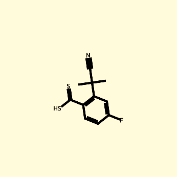 CC(C)(C#N)c1cc(F)ccc1C(=S)S